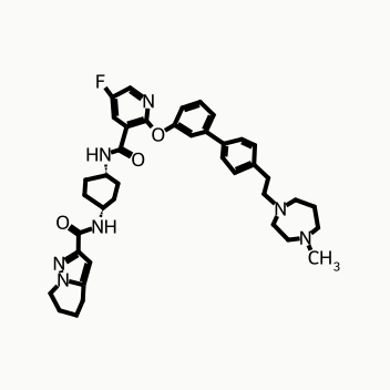 CN1CCCN(CCc2ccc(-c3cccc(Oc4ncc(F)cc4C(=O)N[C@H]4CC[C@@H](NC(=O)c5cc6n(n5)CCCC6)CC4)c3)cc2)CC1